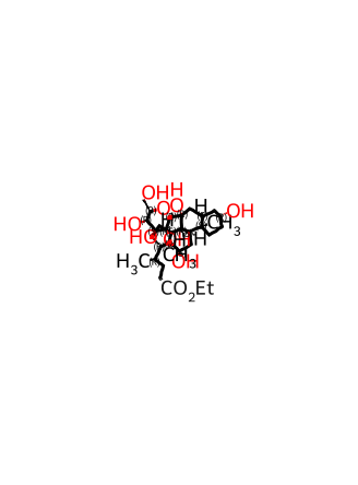 CCOC(=O)CC[C@@H](C)[C@H]1CC[C@H]2[C@H]3[C@H](C[C@H](O)[C@]12C)[C@@]1(C)CC[C@@H](O)C[C@H]1C[C@]3(O)[C@@H]1O[C@H](CO)[C@H](O)[C@H](O)[C@H]1O